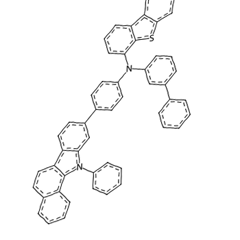 c1ccc(-c2cccc(N(c3ccc(-c4ccc5c6ccc7ccccc7c6n(-c6ccccc6)c5c4)cc3)c3cccc4c3sc3ccccc34)c2)cc1